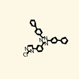 Clc1nccc(-c2cccc(-c3nc(-c4ccc(-c5ccccc5)cc4)nc(-c4ccc(-c5ccccc5)cc4)n3)c2)n1